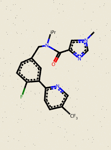 CC(C)N(Cc1ccc(F)c(-c2ccc(C(F)(F)F)cn2)c1)C(=O)c1cn(C)cn1